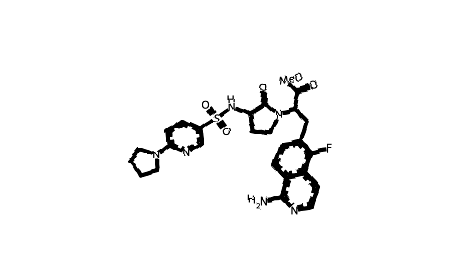 COC(=O)C(Cc1ccc2c(N)nccc2c1F)N1CCC(NS(=O)(=O)c2ccc(N3CCCC3)nc2)C1=O